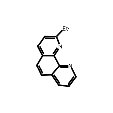 C[CH]c1ccc2ccc3cccnc3c2n1